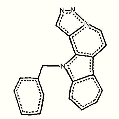 c1ccc(Cn2c3ccccc3c3ccn4nncc4c32)cc1